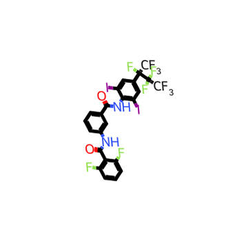 O=C(Nc1c(I)cc(C(F)(C(F)(F)F)C(F)(F)C(F)(F)F)cc1I)c1cccc(NC(=O)c2c(F)cccc2F)c1